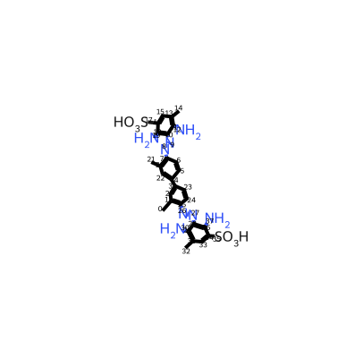 Cc1cc(-c2ccc(N=Nc3c(N)c(C)cc(S(=O)(=O)O)c3N)c(C)c2)ccc1N=Nc1c(N)c(C)cc(S(=O)(=O)O)c1N